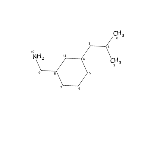 CC(C)CC1CCCC(CN)C1